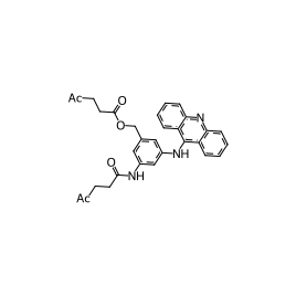 CC(=O)CCC(=O)Nc1cc(COC(=O)CCC(C)=O)cc(Nc2c3ccccc3nc3ccccc23)c1